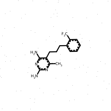 Cc1nc(N)nc(N)c1CCCc1ccccc1C(F)(F)F